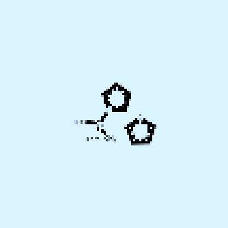 [CH3][GeH]([CH3])[c-]1cccc1.[Fe+2].c1cc[cH-]c1